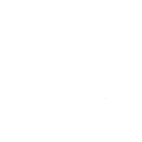 Cc1cc(C)c(B(c2ccc3sc4ccc(-c5ccc(C67CC8CC(C6)CC(c6ccc([Si](c9ccccc9)(c9ccccc9)c9ccccc9)cc6)(C8)C7)cc5)cc4c3c2)c2c(C)cc(C)cc2C)c(C)c1